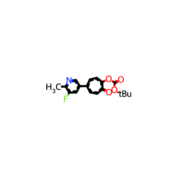 Cc1ncc(-c2ccc(OC(=O)OC(C)(C)C)c(=O)cc2)cc1F